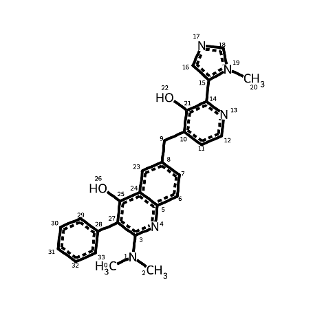 CN(C)c1nc2ccc(Cc3ccnc(-c4cncn4C)c3O)cc2c(O)c1-c1ccccc1